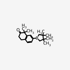 CC1(C)C(=O)CCc2ccc(B3CC(C)(C)C(C)(C)C3)cc21